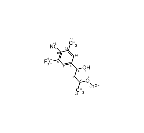 CCCOC(CC(O)c1cc(C(F)(F)F)c(C#N)c(C(F)(F)F)c1)C(F)(F)F